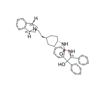 O=C(N[C@@H](c1ccccc1)C(O)(c1ccccc1)c1ccccc1)N[C@H]1CC[C@H](CCN2[C@@H]3CC[C@H]2c2ccccc23)CC1